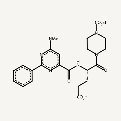 CCOC(=O)N1CCN(C(=O)[C@H](CCC(=O)O)NC(=O)c2cc(NC)nc(-c3ccccc3)n2)CC1